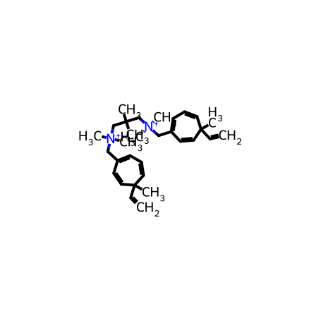 C=CC1(C)C=CC=C(C[N+](C)(C)CC(C)(C)C[N+](C)(C)CC2=CC=CC(C)(C=C)C=C2)C=C1